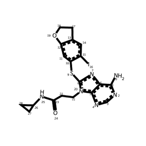 Nc1ncnc2c1nc(Sc1cc3c(cc1I)CCO3)n2CCC(=O)NC1CC1